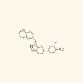 CC(=O)c1ccc(-c2ccc3nnn(Cc4ccc5ncccc5c4)c3n2)cc1F